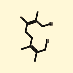 [Li][CH2]C(C)=C(C)CCC(C)=C(C)[CH2][Li]